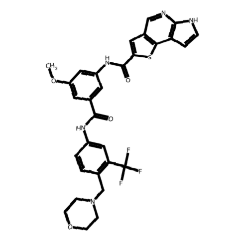 COc1cc(NC(=O)c2cc3cnc4[nH]ccc4c3s2)cc(C(=O)Nc2ccc(CN3CCOCC3)c(C(F)(F)F)c2)c1